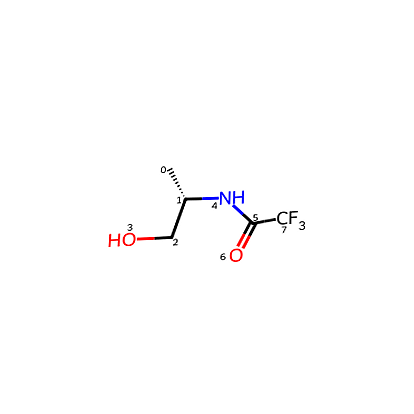 C[C@@H](CO)NC(=O)C(F)(F)F